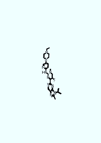 C=N/C=C(F)\C(=N/CNc1ccc(N2CCN(CC)CC2)cn1)c1ncc2nc(C)n(C(C)C)c2n1